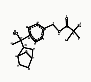 CCC(C)(C)C(=O)OCc1ccc(C(C)(O)C2CC3CCC2C3)cc1